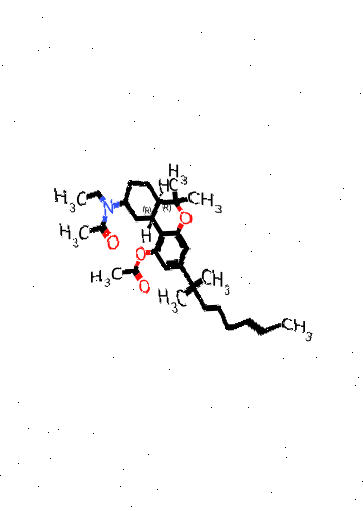 CCCCCCC(C)(C)c1cc(OC(C)=O)c2c(c1)OC(C)(C)[C@@H]1CCC(N(CC)C(C)=O)C[C@@H]21